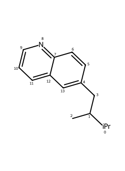 CC(C)C(C)Cc1ccc2ncccc2c1